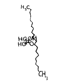 CCCCCCCCCCCCCCCCCCCCCC.O=P(O)(O)O